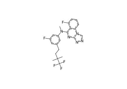 CN(c1cc(F)cc(CCC(C)(C)C(F)(F)F)c1)c1nc2nncn2c2cccc(F)c12